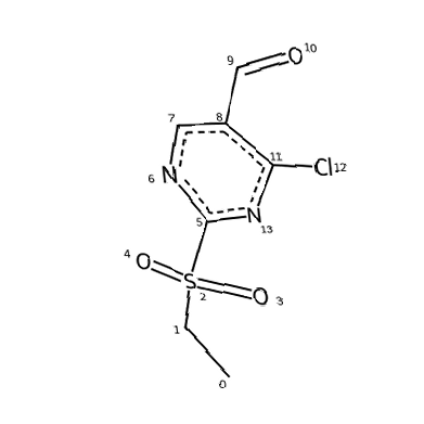 CCS(=O)(=O)c1ncc(C=O)c(Cl)n1